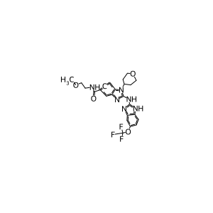 COCCNC(=O)c1ccc2c(c1)nc(Nc1nc3cc(OC(F)(F)F)ccc3[nH]1)n2C1CCOCC1